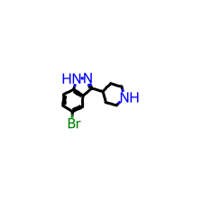 Brc1ccc2[nH]nc(C3CCNCC3)c2c1